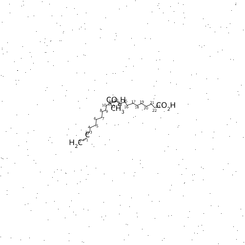 C=CCCCCCCCCCC(C)(CCCCCCCCCCC(=O)O)C(=O)O